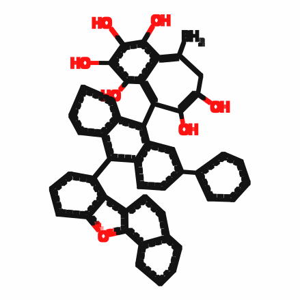 BC1=c2c(O)c(O)c(O)c(O)c2=C(c2c3ccccc3c(-c3cccc4oc5c6ccccc6ccc5c34)c3ccc(-c4ccccc4)cc23)C(O)=C(O)C1